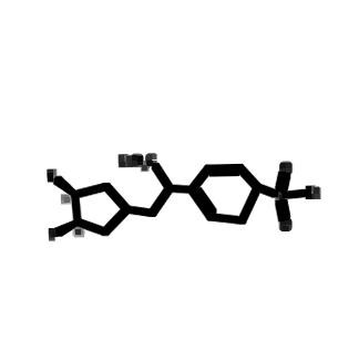 CCOC(=O)C(CC1C[C@@H](F)[C@@H](F)C1)C1=CCC(S(=O)(=O)CC)C=C1